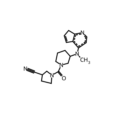 CN(c1ccnc2c1C=CC2)C1CCCN(C(=O)N2CCC(C#N)C2)C1